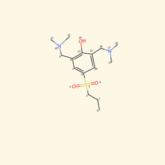 CCCS(=O)(=O)c1cc(CN(C)C)c(O)c(CN(C)C)c1